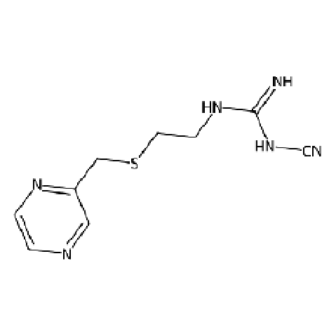 N#CNC(=N)NCCSCc1cnccn1